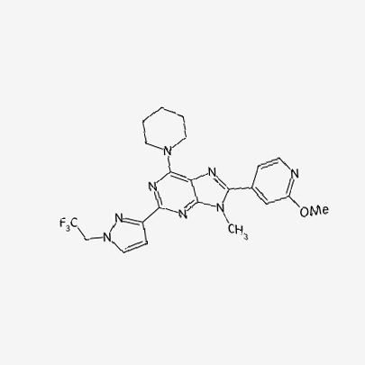 COc1cc(-c2nc3c(N4CCCCC4)nc(-c4ccn(CC(F)(F)F)n4)nc3n2C)ccn1